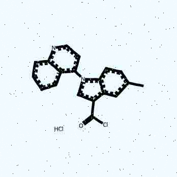 Cc1ccc2c(c1)c(C(=O)Cl)cn2-c1ccnc2ccccc12.Cl